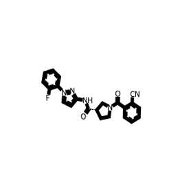 N#Cc1ccccc1C(=O)N1CC[C@H](C(=O)Nc2ccn(-c3ccccc3F)n2)C1